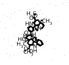 CC[C@]12C=CCN3CC[C@]4(C(=C(C(=O)OC)C1)Nc1cc5c(cc14)[C@@H]1[C@H](O5)[C@@H](O)[C@@]4(CC)CC(C(=O)OC)=C5Nc6ccccc6[C@@]56CCN1[C@@H]46)[C@@H]32